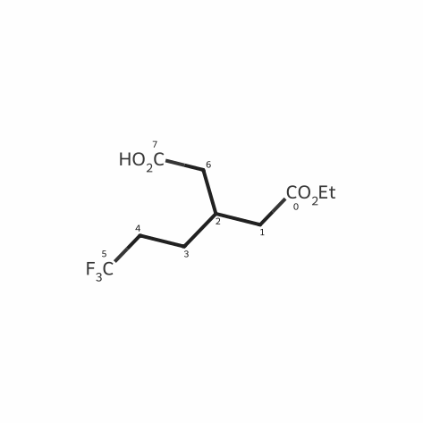 CCOC(=O)CC(CCC(F)(F)F)CC(=O)O